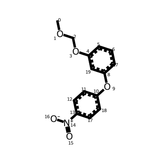 COCOc1cc[c]c(Oc2ccc([N+](=O)[O-])cc2)c1